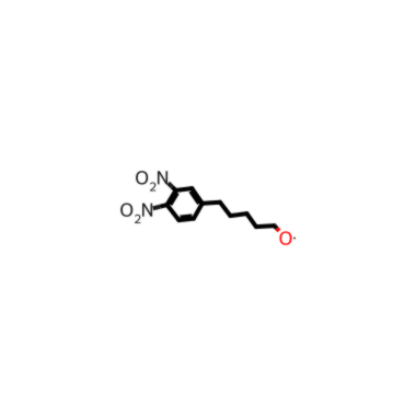 [O]CCCCCc1ccc([N+](=O)[O-])c([N+](=O)[O-])c1